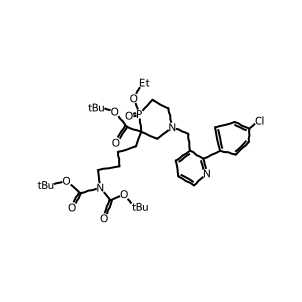 CCOP1(=O)CCN(Cc2cccnc2-c2ccc(Cl)cc2)CC1(CCCCN(C(=O)OC(C)(C)C)C(=O)OC(C)(C)C)C(=O)OC(C)(C)C